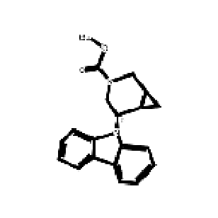 CC(C)(C)OC(=O)N1CC2CC2[C@@H](n2c3ccccc3c3ccccc32)C1